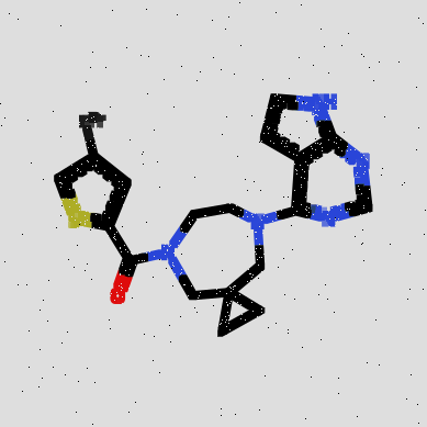 CCCc1csc(C(=O)N2CCN(c3ncnc4[nH]ccc34)CC3(CC3)C2)c1